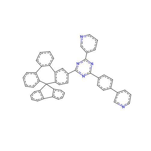 c1cncc(-c2ccc(-c3nc(-c4cccnc4)nc(-c4ccc5c(c4)-c4ccccc4-c4ccccc4C54c5ccccc5-c5ccccc54)n3)cc2)c1